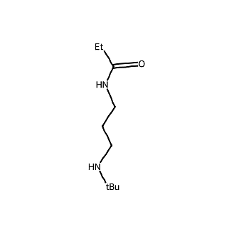 CCC(=O)NCCCNC(C)(C)C